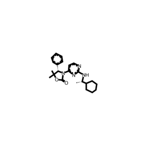 C[C@H](Nc1nccc(N2C(=O)OC(C)(C)[C@@H]2c2ccccc2)n1)C1CCCCC1